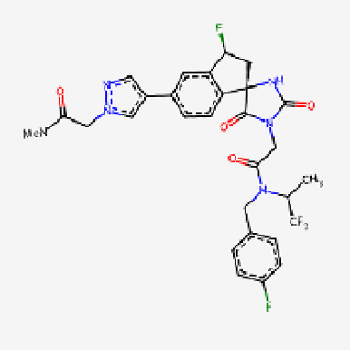 CNC(=O)Cn1cc(-c2ccc3c(c2)[C@@H](F)C[C@]32NC(=O)N(CC(=O)N(Cc3ccc(F)cc3)[C@@H](C)C(F)(F)F)C2=O)cn1